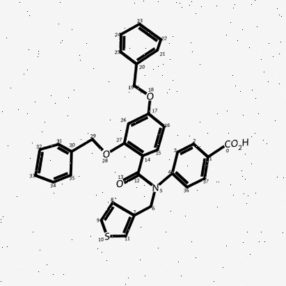 O=C(O)c1ccc(N(Cc2ccsc2)C(=O)c2ccc(OCc3ccccc3)cc2OCc2ccccc2)cc1